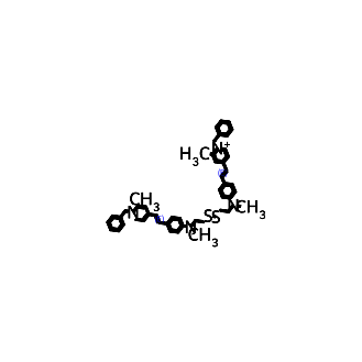 CC1=CC(/C=C/c2ccc(N(C)CCSSCCN(C)c3ccc(/C=C/c4cc[n+](Cc5ccccc5)c(C)c4)cc3)cc2)=CCN1Cc1ccccc1